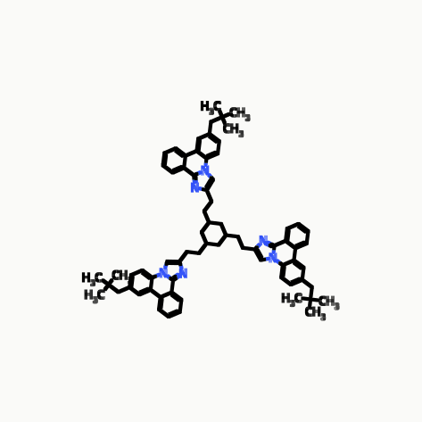 CC(C)(C)Cc1ccc2c(c1)c1ccccc1c1nc(CCC3CC(CCc4cn5c6ccc(CC(C)(C)C)cc6c6ccccc6c5n4)CC(CCc4cn5c6ccc(CC(C)(C)C)cc6c6ccccc6c5n4)C3)cn21